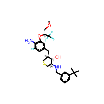 COC[C@@H](Oc1cc(C[C@@H]2CSC[C@H](NCc3cccc(C(C)(C)C)c3)[C@H]2O)cc(F)c1N)C(F)(F)F